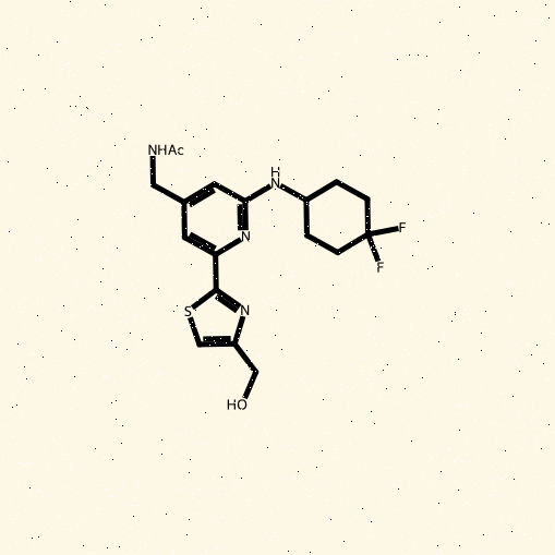 CC(=O)NCc1cc(NC2CCC(F)(F)CC2)nc(-c2nc(CO)cs2)c1